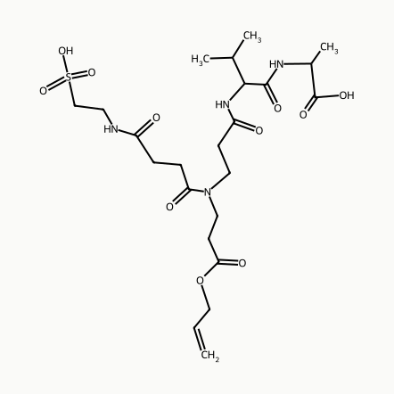 C=CCOC(=O)CCN(CCC(=O)NC(C(=O)NC(C)C(=O)O)C(C)C)C(=O)CCC(=O)NCCS(=O)(=O)O